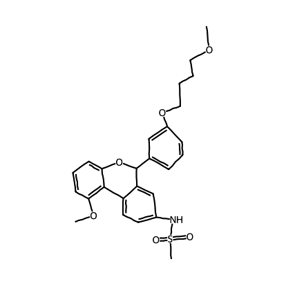 COCCCCOc1cccc(C2Oc3cccc(OC)c3-c3ccc(NS(C)(=O)=O)cc32)c1